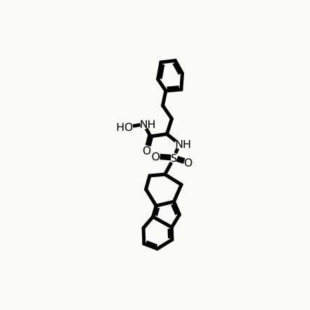 O=C(NO)C(CCc1ccccc1)NS(=O)(=O)C1CCC2=C3CC=CC=C3C=C2C1